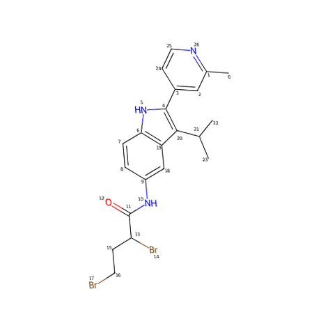 Cc1cc(-c2[nH]c3ccc(NC(=O)C(Br)CCBr)cc3c2C(C)C)ccn1